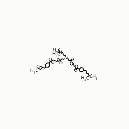 CC(C)CCCC1CCC(C(=O)OCCOC(=O)CCN(CCCN(C)C)CCC(=O)OCCOC(=O)C2CCC(CCCC(C)C)CC2)CC1